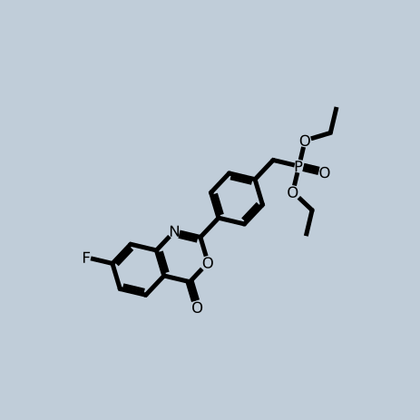 CCOP(=O)(Cc1ccc(-c2nc3cc(F)ccc3c(=O)o2)cc1)OCC